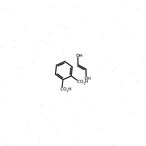 O=C(O)c1ccccc1C(=O)O.OC=CO